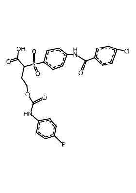 O=C(Nc1ccc(F)cc1)OCCC(C(=O)O)S(=O)(=O)c1ccc(NC(=O)c2ccc(Cl)cc2)cc1